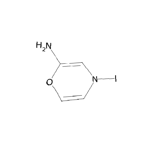 NC1=CN(I)C=CO1